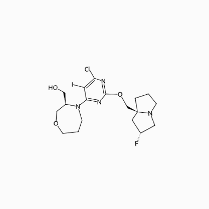 OC[C@@H]1COCCCN1c1nc(OC[C@@]23CCCN2C[C@H](F)C3)nc(Cl)c1I